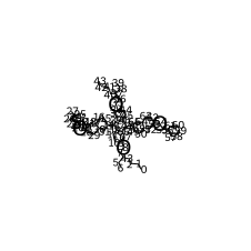 CCCCC(CC)COc1ccc2c(-c3ccc4cc(O[Si](C)(C)C(C)(C)C)ccc4c3)c3cc(OCC(CC)CCCC)ccc3c(-c3ccc4cc(OCc5ccccc5)ccc4c3)c2c1